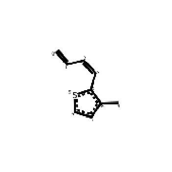 C=C/C=C\c1sccc1C